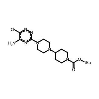 CC(C)(C)OC(=O)N1CCC(N2CCN(c3nnc(Cl)c(N)n3)CC2)CC1